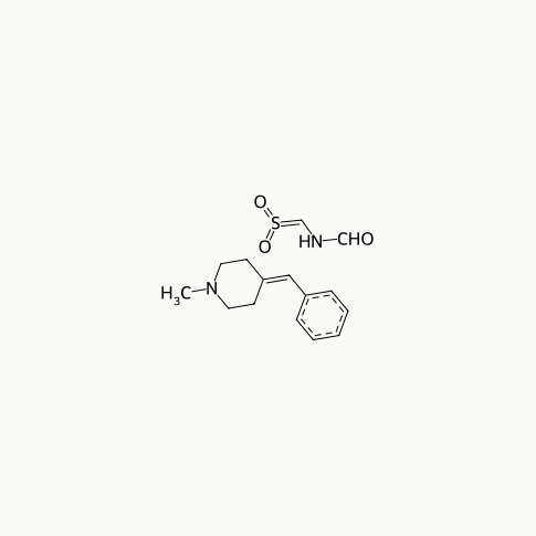 CN1CCC(=Cc2ccccc2)CC1.O=CNC=S(=O)=O